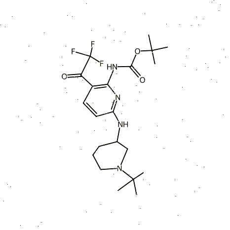 CC(C)(C)OC(=O)Nc1nc(NC2CCCN(C(C)(C)C)C2)ccc1C(=O)C(F)(F)F